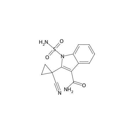 N#CC1(c2c(C(N)=O)c3ccccc3n2S(N)(=O)=O)CC1